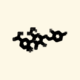 CNc1nc(OCc2ccc(F)cc2F)c(Br)c(=O)n1-c1cc(C(=O)O)ccc1C